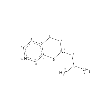 CC(C)CN1CCc2ccncc2C1